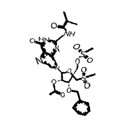 CC(=O)O[C@H]1[C@@H](OCc2ccccc2)[C@@](COS(C)(=O)=O)(CS(C)(=O)=O)O[C@@H]1n1cnc2c(=O)[nH]c(NC(=O)C(C)C)nc21